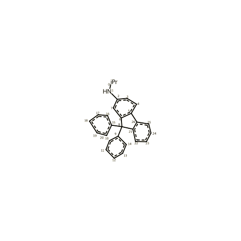 CC(C)Nc1ccc2c(c1)C(c1ccccc1)(c1ccccc1)c1ccccc1-2